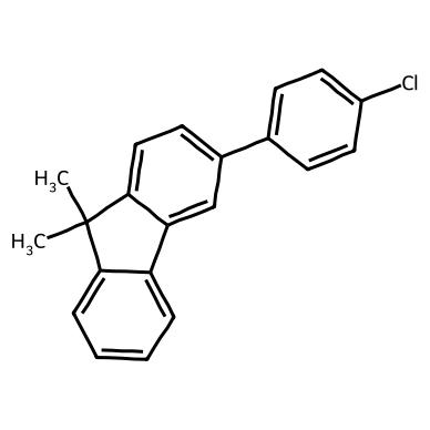 CC1(C)c2ccccc2-c2cc(-c3ccc(Cl)cc3)ccc21